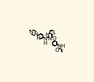 C=CC(=O)Nc1cccc(Oc2nc(Nc3ccc(N4CCN(C)CC4)nc3)nc3ccsc23)c1